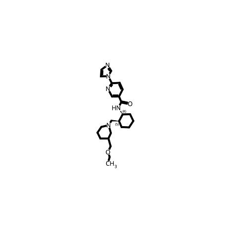 CCOCC1CCCN(C[C@@H]2CCCC[C@H]2NC(=O)c2ccc(-n3ccnc3)nc2)C1